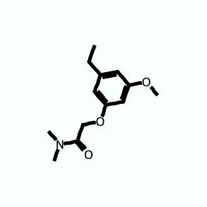 CCc1cc(OC)cc(OCC(=O)N(C)C)c1